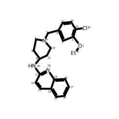 CCOc1cc(CN2CCC(Nc3ccc4ccccc4n3)CC2)ccc1Cl